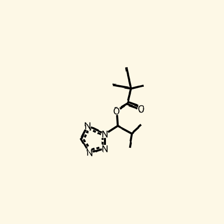 CC(C)C(OC(=O)C(C)(C)C)n1ncnn1